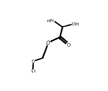 CCCC(O)C(=O)OCOCC